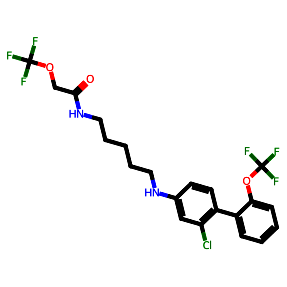 O=C(COC(F)(F)F)NCCCCCNc1ccc(-c2ccccc2OC(F)(F)F)c(Cl)c1